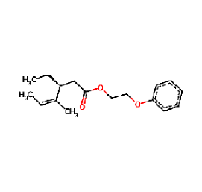 C/C=C(/C)[C@@H](CC)CC(=O)OCCOc1ccccc1